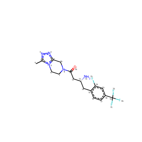 Cc1nnc2n1CCN(C(=O)C[C@H](N)Cc1ccc(C(F)(F)F)cc1F)C2